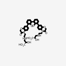 O=C(O)[C@@H](O)CNCCN1C(=O)COc2cc(-c3cccc(-c4cccc(-c5ccc6c(c5)OCC(=O)N6CCNC[C@H](O)C(=O)O)c4Cl)c3Cl)ccc21